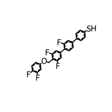 Fc1ccc(OCc2c(F)cc(-c3ccc(-c4ccc(S)cc4)cc3F)cc2F)cc1F